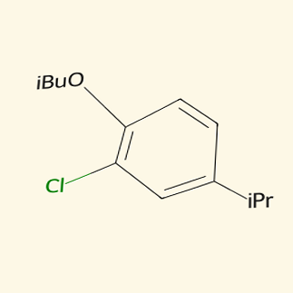 CC(C)COc1ccc(C(C)C)cc1Cl